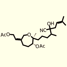 CC(=O)OCC=C1CC[C@@H](OC(C)=O)[C@](C)(CCCC(C)C(O)(C#N)CC=C(C)C)OC1